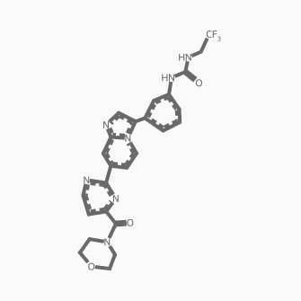 O=C(NCC(F)(F)F)Nc1cccc(-c2cnc3cc(-c4nccc(C(=O)N5CCOCC5)n4)ccn23)c1